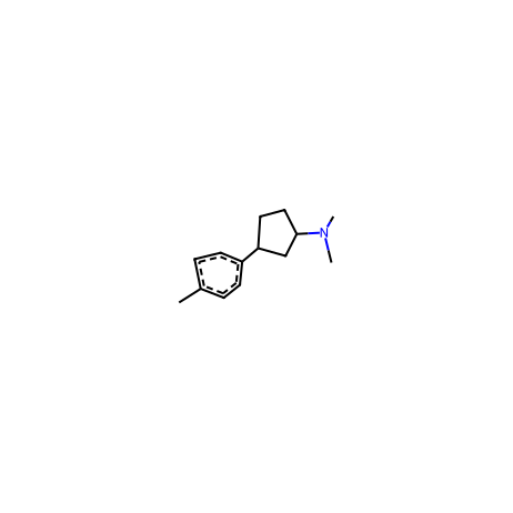 Cc1ccc(C2CCC(N(C)C)C2)cc1